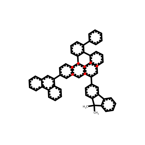 CC1(C)c2ccccc2-c2cc(-c3cccc(N(c4ccc(-c5cc6ccccc6c6ccccc56)cc4)c4cccc(-c5ccccc5)c4-c4ccccc4-c4ccccc4)c3)ccc21